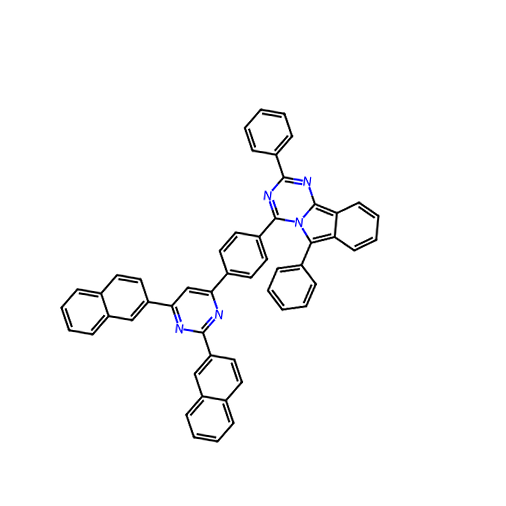 c1ccc(-c2nc(-c3ccc(-c4cc(-c5ccc6ccccc6c5)nc(-c5ccc6ccccc6c5)n4)cc3)n3c(-c4ccccc4)c4ccccc4c3n2)cc1